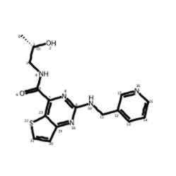 C[C@H](O)CNC(=O)c1nc(NCc2cccnc2)nc2ccsc12